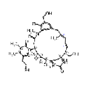 C/C1=C\C=C\[C@@H](CO)[C@@]2(O)C[C@H](OC(=O)N2)[C@@H](C)[C@@H]2O[C@@]2(C)[C@@H](OC(=O)[C@H](C)N(C)C(=O)CCS)CC(=O)N(C)c2cc(cc(CO)c2Cl)C1